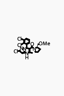 COC[C@@H]1CCCN1C(=O)C1=C(C)Nc2cc(Cl)nn2C1c1cccc(Cl)c1Cl